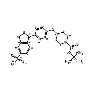 CC(C)(C)OC(=O)N1CCC(Oc2ccc(N3CCc4cc(S(C)(=O)=O)ccc43)nc2)CC1